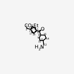 CCOC(=O)Cc1ccc(C(=O)C2CCC(CN)CC2)cc1